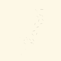 C=C1C[C@H](C)N[C@@H]1c1nc2ccc3cc4c(cc3c2[nH]1)OCc1cc(-c2cnc([C@@H]3C[C@H](COC)CN3C(=O)OC(C)(C)C)[nH]2)ccc1-4